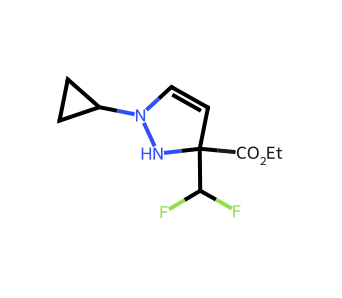 CCOC(=O)C1(C(F)F)C=CN(C2CC2)N1